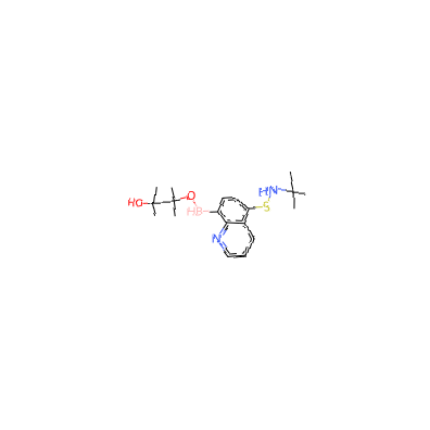 CC(C)(C)NSc1ccc(BOC(C)(C)C(C)(C)O)c2ncccc12